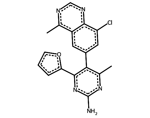 Cc1nc(N)nc(-c2ccco2)c1-c1cc(Cl)c2ncnc(C)c2c1